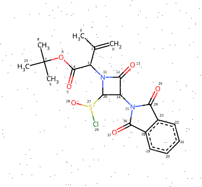 C=C(C)C(C(=O)OC(C)(C)C)N1C(=O)C(N2C(=O)c3ccccc3C2=O)C1[S+]([O-])Cl